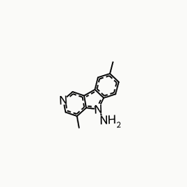 Cc1ccc2c(c1)c1cncc(C)c1n2N